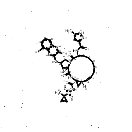 Cc1cc(C(=O)N[C@H]2CCCCC/C=C\[C@@H]3C[C@@]3(C(=O)NS(=O)(=O)C3(C)CC3)NC(=O)[C@@H]3C[C@@H](Oc4nc5c(F)cccc5nc4C)CN3C2=O)n[nH]1